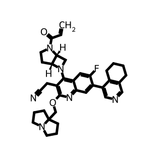 C=CC(=O)N1CC[C@@H]2[C@H]1CN2c1c(CC#N)c(OCC23CCCN2CCC3)nc2cc(-c3cncc4c3CCCC4)c(F)cc12